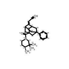 C#CC=C1C2CC3(C(=O)N4CC[C@H](C)C(C)(C)C4)CC1CC(c1ccccc1)(C2)C3